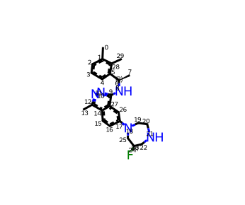 Cc1cccc([C@@H](C)Nc2nnc(C)c3ccc(N4CCNC[C@@H](F)C4)cc23)c1C